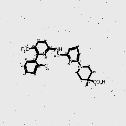 CC1(C(=O)O)CCN(c2cccc(SNc3ccc(C(F)(F)F)c(-c4ccccc4Cl)n3)n2)CC1